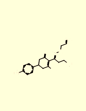 C=CCON=C(CCC)C1=C(O)CC(c2ccc(N)cc2)CC1=O